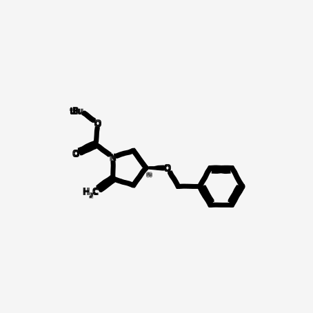 C=C1C[C@H](OCc2ccccc2)CN1C(=O)OC(C)(C)C